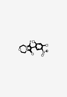 O=c1c(-c2cc([N+](=O)[O-])c(Cl)cc2Cl)c(F)n2n1CCOCC2